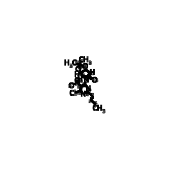 CCCSc1nc(Cl)c([N+](=O)[O-])c(N2C(=O)[C@@H]3C[C@@H]2[C@@H]2OC(C)(C)OC23)n1